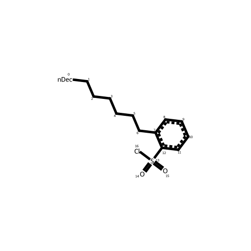 CCCCCCCCCCCCCCCCc1ccccc1S(=O)(=O)Cl